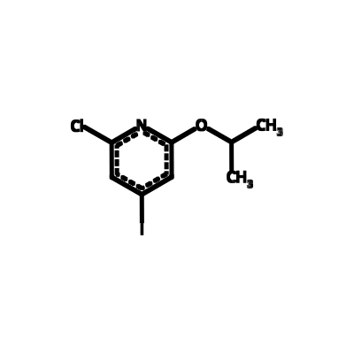 CC(C)Oc1cc(I)cc(Cl)n1